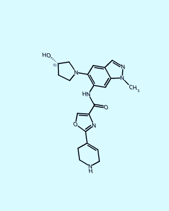 Cn1ncc2cc(N3CC[C@H](O)C3)c(NC(=O)c3coc(C4=CCNCC4)n3)cc21